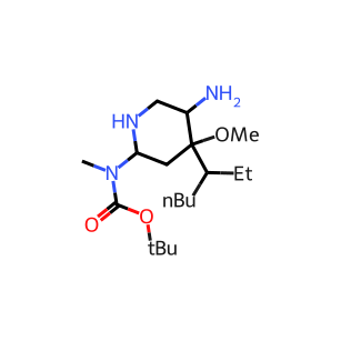 CCCCC(CC)C1(OC)CC(N(C)C(=O)OC(C)(C)C)NCC1N